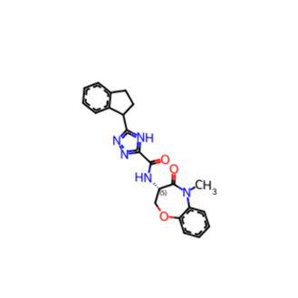 CN1C(=O)[C@@H](NC(=O)c2nnc(C3CCc4ccccc43)[nH]2)COc2ccccc21